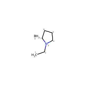 B.CCN1CCCC1